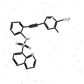 Cc1cc(C#Cc2ccccc2NS(=O)(=O)c2cccc3cccnc23)cnc1C(=O)O